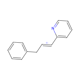 C(=C\c1ccccn1)/Cc1ccccc1